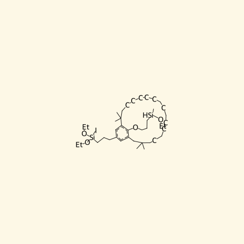 CCO[SiH](C)CCCOc1c2cc(CCC[Si](I)(OCC)OCC)cc1C(C)(C)CCCCCCCCCCCCCCC(C)(C)C2